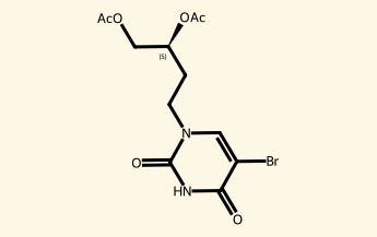 CC(=O)OC[C@H](CCn1cc(Br)c(=O)[nH]c1=O)OC(C)=O